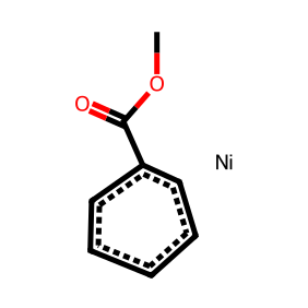 COC(=O)c1ccccc1.[Ni]